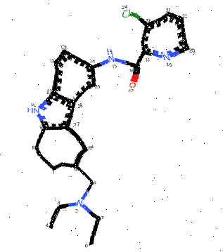 CCN(CC)CC1CCc2[nH]c3ccc(NC(=O)c4ncccc4Cl)cc3c2C1